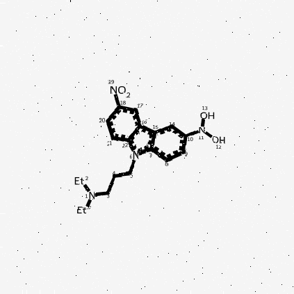 CCN(CC)CCCn1c2ccc(N(O)O)cc2c2cc([N+](=O)[O-])ccc21